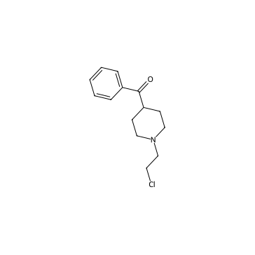 O=C(c1ccccc1)C1CCN(CCCl)CC1